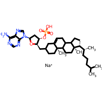 CC(C)CCC[C@@H](C)[C@H]1CCC2C3CC=C4CC(C[C@H]5O[C@@H](n6cnc7c(N)ncnc76)C[C@@H]5OP(=O)([O-])O)CC[C@]4(C)C3CC[C@@]21C.[Na+]